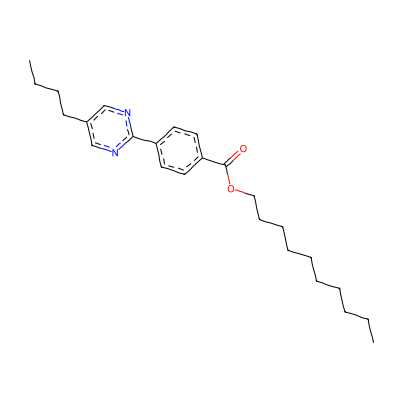 CCCCCCCCCCOC(=O)c1ccc(-c2ncc(CCCC)cn2)cc1